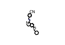 N#Cc1ccc(/C=C/C2=NCCc3cc(OCC4CCCCC4)ccc32)cc1